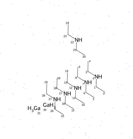 CCNCC.CCNCC.CCNCC.CCNCC.CCNCC.CCNCC.[GaH3].[GaH3]